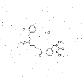 CN(CCCCC(=O)c1ccc2c(c1)CN(C)C(=O)N2C)CCc1ccccc1Cl.Cl